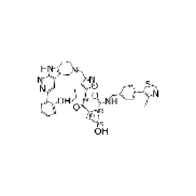 Cc1ncsc1-c1ccc(CNC(=O)[C@@H]2C[C@@H](O)C[C@H]2C(=O)[C@](C)(c2cc(CN3CCc4[nH]c5nnc(-c6ccccc6O)cc5c4C3)no2)C(C)C)cc1